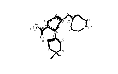 CC1(C)CC=C(c2cc(CN3CCSCC3)ccc2C(N)=O)CC1